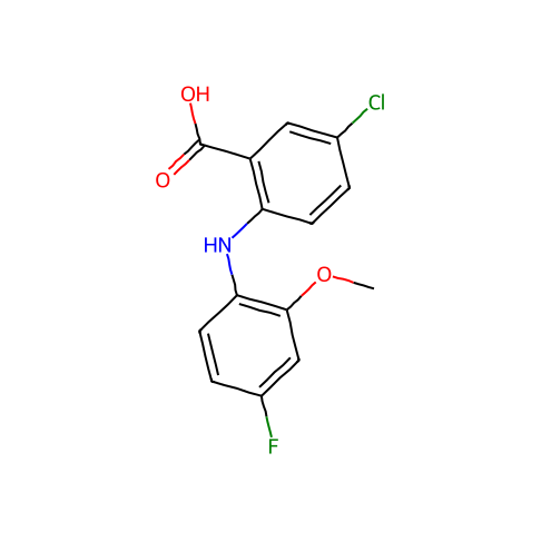 COc1cc(F)ccc1Nc1ccc(Cl)cc1C(=O)O